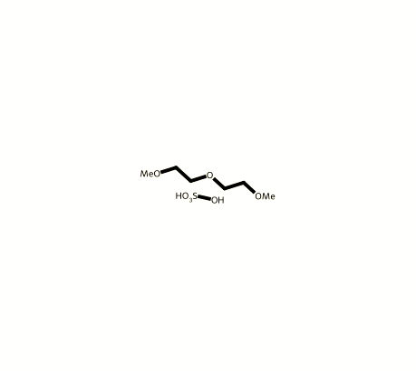 COCCOCCOC.O=S(=O)(O)O